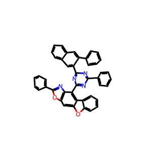 c1ccc(-c2nc(-c3cc4ccccc4cc3-c3ccccc3)nc(-c3c4nc(-c5ccccc5)oc4cc4oc5ccccc5c34)n2)cc1